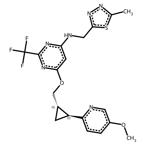 COc1ccc([C@H]2C[C@@H]2COc2cc(NCc3nnc(C)s3)nc(C(F)(F)F)n2)nc1